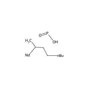 CCCCCC[CH](C)[Nd].O=PO